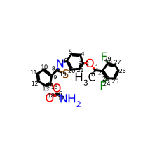 CC(Oc1ccc2nc(-c3ccccc3OC(N)=O)sc2c1)c1c(F)cccc1F